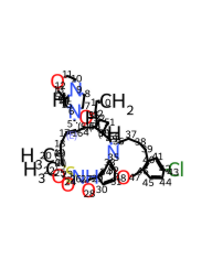 C=CCO[C@]1(CN2CCN3CCOC[C@@H]3C2)/C=C/C[C@H](C)[C@@H](C)S(=O)(=O)NC(=O)c2ccc3c(c2)N(CCCCc2cc(Cl)ccc2CO3)C[C@@H]2CC[C@H]21